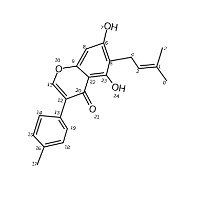 CC(C)=CCc1c(O)cc2occ(-c3ccc(C)cc3)c(=O)c2c1O